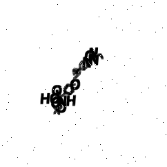 CCc1noc(N2CCC([C@H](C)CCOc3ccc(C(NC(=O)OC(C)(C)C)C(=O)O)cc3)CC2)n1